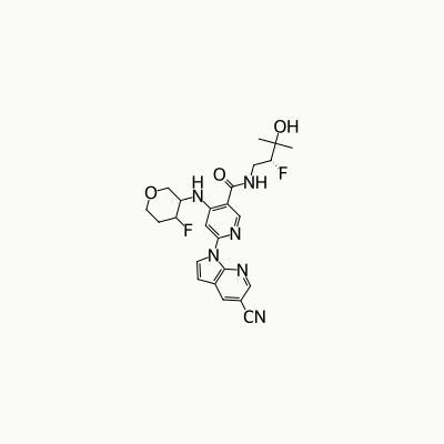 CC(C)(O)[C@H](F)CNC(=O)c1cnc(-n2ccc3cc(C#N)cnc32)cc1NC1COCCC1F